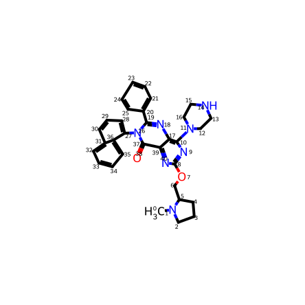 CN1CCCC1COc1nc(N2CCNCC2)c2nc(-c3ccccc3)n(-c3cccc4ccccc34)c(=O)c2n1